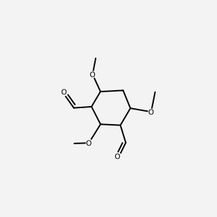 COC1CC(OC)C(C=O)C(OC)C1C=O